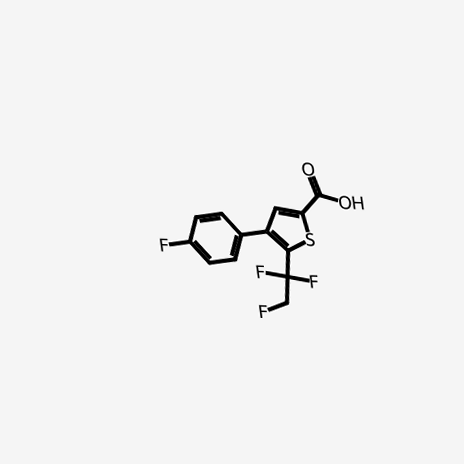 O=C(O)c1cc(-c2ccc(F)cc2)c(C(F)(F)CF)s1